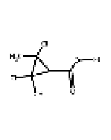 CCOC(=O)C1C(C)(Cl)C1(C)Cl